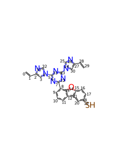 C=Cc1cn(-c2nc(-c3cccc4c3oc3ccc(S)cc34)nc(-n3cnc(C=C)c3)n2)cn1